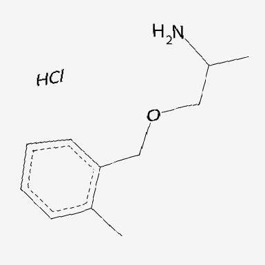 Cc1ccccc1COCC(C)N.Cl